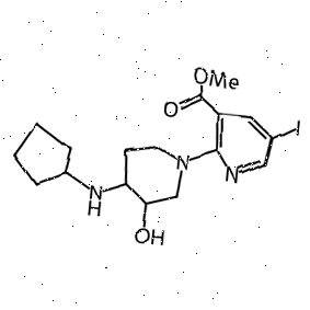 COC(=O)c1cc(I)cnc1N1CCC(NC2CCCC2)C(O)C1